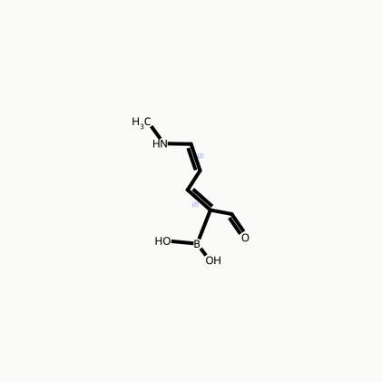 CN/C=C\C=C(/C=O)B(O)O